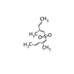 CC=CC(C)=CS(=O)(=O)C=C(C)C=CC